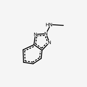 CNn1nc2ccccc2n1